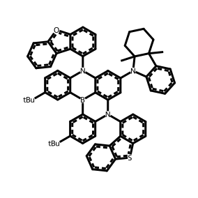 CC(C)(C)c1ccc2c(c1)B1c3cc(C(C)(C)C)ccc3N(c3cccc4sc5ccccc5c34)c3cc(N4c5ccccc5C5(C)CCCCC45C)cc(c31)N2c1cccc2oc3ccccc3c12